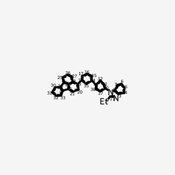 CCc1nc2ccccc2n1-c1ccc(-c2cccc(-c3ccc4c5c(cccc35)-c3ccccc3-4)c2)cc1